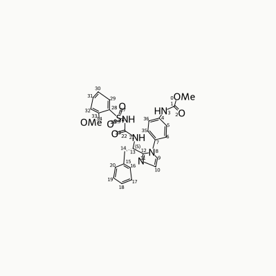 COC(=O)Nc1ccc(-n2ccnc2[C@H](Cc2ccccc2)NC(=O)NS(=O)(=O)c2ccccc2OC)cc1